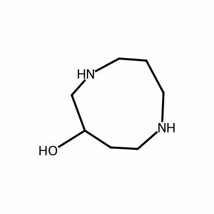 OC1CCNCCCNC1